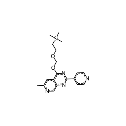 Cc1cc2c(OCOCC[Si](C)(C)C)nc(-c3ccncc3)nc2cn1